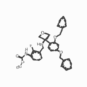 CC(C)(C)OC(=O)Nc1cccc(CNC2(c3ccc(OCc4ccccc4)cc3OCc3ccccc3)COC2)c1F